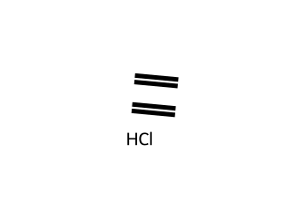 C=C.C=C.Cl